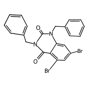 O=c1c2c(Br)cc(Br)cc2n(Cc2ccccc2)c(=O)n1Cc1ccccc1